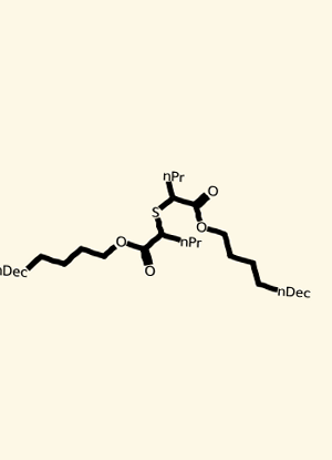 CCCCCCCCCCCCCCOC(=O)C(CCC)SC(CCC)C(=O)OCCCCCCCCCCCCCC